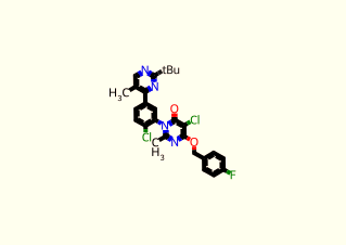 Cc1cnc(C(C)(C)C)nc1-c1ccc(Cl)c(-n2c(C)nc(OCc3ccc(F)cc3)c(Cl)c2=O)c1